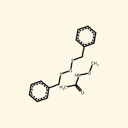 CONC(C)=O.c1ccc(CSOSCc2ccccc2)cc1